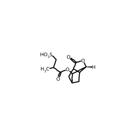 CC(CS(=O)(=O)O)C(=O)OC1C2CC3C(=O)O[C@@H]1C3C2